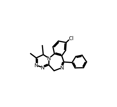 CC1=NN=C2CN=C(c3ccccc3)c3cc(Cl)ccc3N2C1C